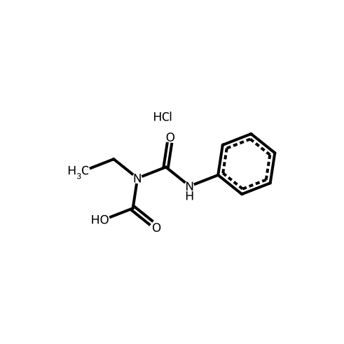 CCN(C(=O)O)C(=O)Nc1ccccc1.Cl